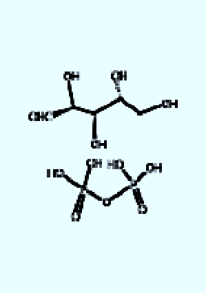 O=C[C@@H](O)[C@H](O)[C@H](O)CO.O=P(O)(O)OP(=O)(O)O